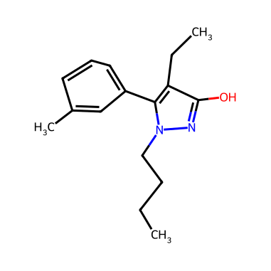 CCCCn1nc(O)c(CC)c1-c1cccc(C)c1